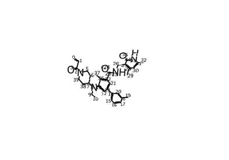 C=CC(=O)N1CCC(N(CC)c2cc(-c3cccc(C)c3)cc(C(=O)NCc3c(C)cc(C)[nH]c3=O)c2C)CC1